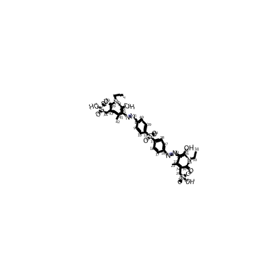 CCn1c(O)c(/N=N/c2ccc(S(=O)(=O)c3ccc(/N=N/c4c(C)c(CS(=O)(=O)O)c(=O)n(CC)c4O)cc3)cc2)c(C)c(CS(=O)(=O)O)c1=O